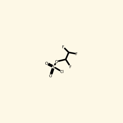 O=S(=O)(Cl)OC(F)C(F)F